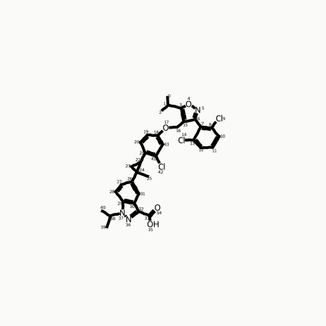 CC(C)c1onc(-c2c(Cl)cccc2Cl)c1COc1ccc(C2CC2(C)c2ccc3c(c2)c(C(=O)O)nn3C(C)C)c(Cl)c1